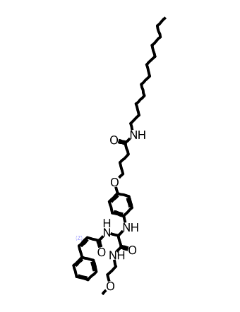 CCCCCCCCCCCCNC(=O)CCCOc1ccc(NC(NC(=O)/C=C\c2ccccc2)C(=O)NCCOC)cc1